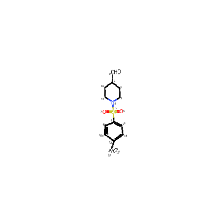 O=CC1CCN(S(=O)(=O)c2ccc([N+](=O)[O-])cc2)CC1